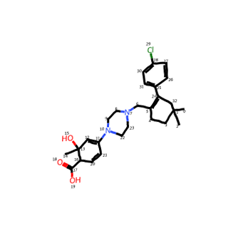 CC1(C)CCC(CN2CCN(C3=CC(C)(O)C(C(=O)O)C=C3)CC2)=C(c2ccc(Cl)cc2)C1